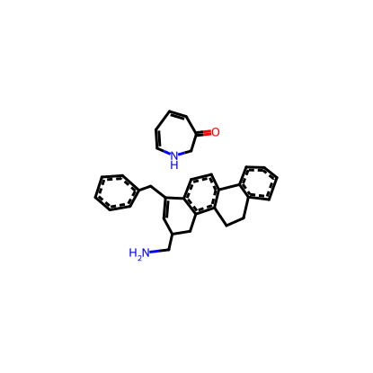 NCC1C=C(Cc2ccccc2)c2ccc3c(c2C1)CCc1ccccc1-3.O=C1C=CC=CNC1